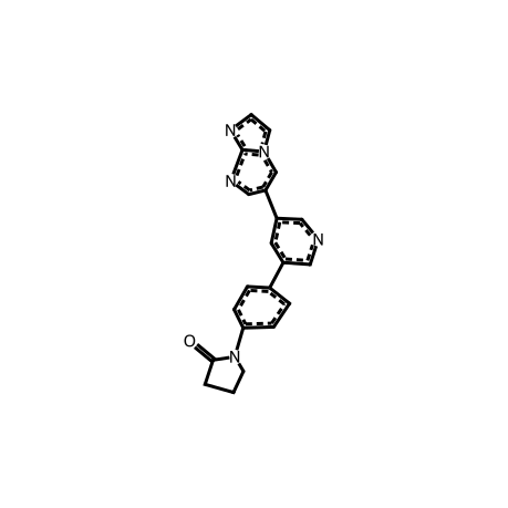 O=C1CCCN1c1ccc(-c2cncc(-c3cnc4nccn4c3)c2)cc1